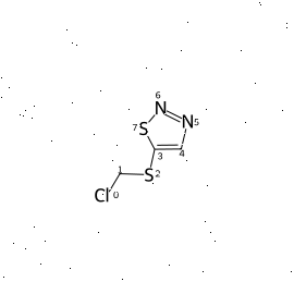 ClCSc1cnns1